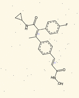 C/C(=C(\C(=O)NC1CC1)c1ccc(F)cc1)c1ccc(/C=C/C(=O)NO)cc1